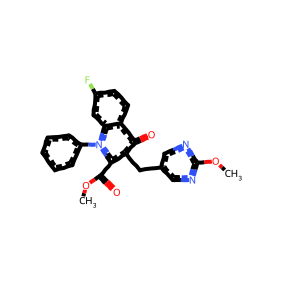 COC(=O)c1c(Cc2cnc(OC)nc2)c(=O)c2ccc(F)cc2n1-c1ccccc1